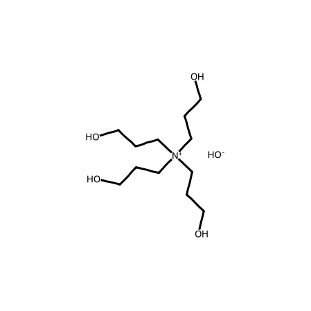 OCCC[N+](CCCO)(CCCO)CCCO.[OH-]